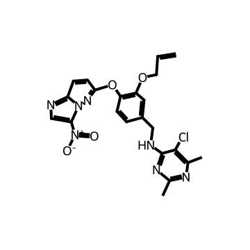 C=CCOc1cc(CNc2nc(C)nc(C)c2Cl)ccc1Oc1ccc2ncc([N+](=O)[O-])n2n1